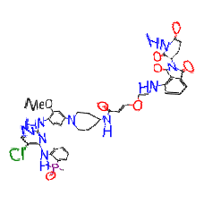 COc1cc(N2CCC(NC(=O)/C=C/OCCNc3cccc4c3C(=O)N(C3CCC(=O)NC3=O)C4=O)CC2)ccc1Nc1ncc(Cl)c(Nc2ccccc2P(C)(C)=O)n1